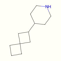 C1CC2(C1)CC(C1CCNCC1)C2